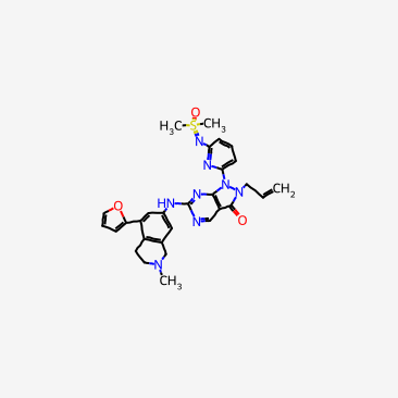 C=CCn1c(=O)c2cnc(Nc3cc4c(c(-c5ccco5)c3)CCN(C)C4)nc2n1-c1cccc(N=S(C)(C)=O)n1